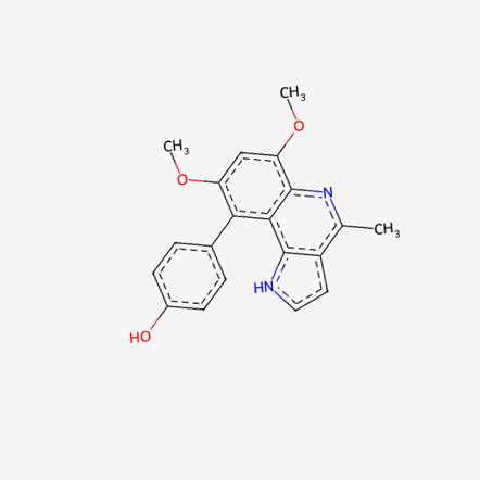 COc1cc(OC)c2nc(C)c3cc[nH]c3c2c1-c1ccc(O)cc1